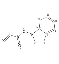 C=CC(=O)OC1CCc2ccccc21